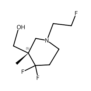 C[C@@]1(CO)CN(CCF)CCC1(F)F